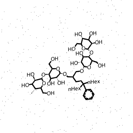 CCCCCCC(CCCCCC)(CCC(CO[C@H]1OC(CO)[C@H](O[C@@H]2OC(CO)[C@H](C)C(O)[C@H]2O)C(O)[C@H]1O)CO[C@H]1OC(CO)[C@H](O[C@@H]2OC(CO)[C@H](O)C(O)[C@H]2O)C(O)[C@H]1O)c1ccccc1